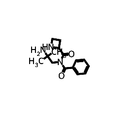 CC(C)(N)CN(C(=O)c1ccccc1)C(=O)C1CCN1